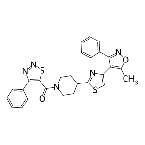 Cc1onc(-c2ccccc2)c1-c1csc(C2CCN(C(=O)c3snnc3-c3ccccc3)CC2)n1